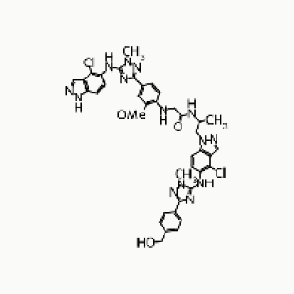 COc1cc(-c2nc(Nc3ccc4[nH]ncc4c3Cl)n(C)n2)ccc1NCC(=O)NC(C)Cn1ncc2c(Cl)c(Nc3nc(-c4ccc(CO)cc4)nn3C)ccc21